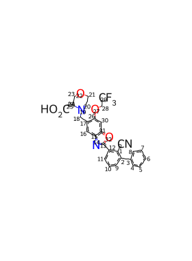 N#Cc1c(-c2ccccc2)cccc1-c1nc2cc(CN3CCOC[C@H]3C(=O)O)c(OCC(F)(F)F)cc2o1